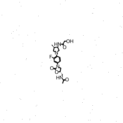 CC(=O)NC[C@H]1CN(c2ccc(N3C[C@@H](C)[C@@H](NC(=O)CO)C3)c(F)c2)C(=O)O1